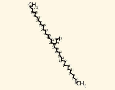 CCCCCCCCCCCCCCCCCCC(CCI)CCCCCCCCCCCCCCCCCC